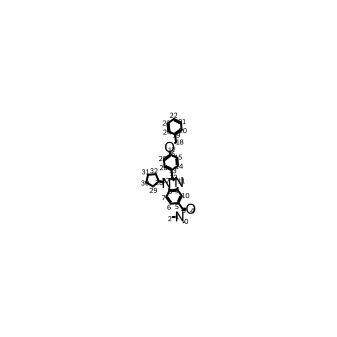 CN(C)C(=O)c1ccc2c(c1)nc(-c1ccc(OCc3ccccc3)cc1)n2C1CCCC1